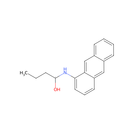 CCC[C](O)Nc1cccc2cc3ccccc3cc12